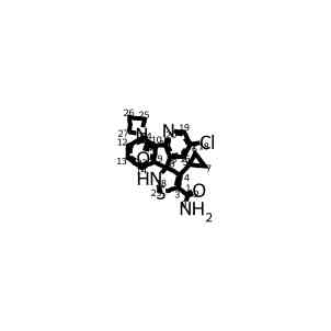 NC(=O)C1=C(C2CC2)C(c2ccccc2)(c2cc(Cl)cnc2C(=O)N2CCC2)NS1